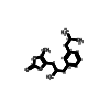 Cc1oc(=O)oc1CC(C)Cc1cccc(CC(C)C)c1